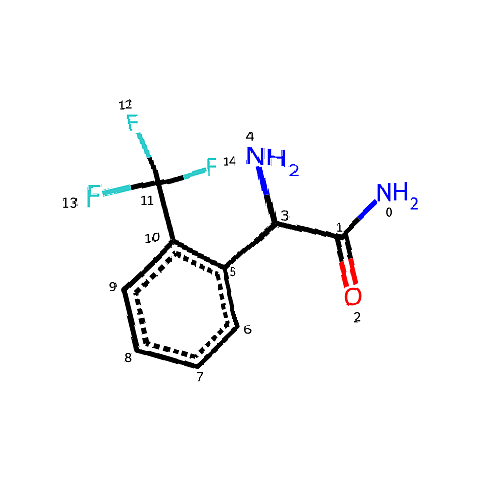 NC(=O)C(N)c1ccccc1C(F)(F)F